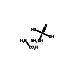 N.NC(=O)O.OP(O)(O)=S